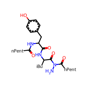 CCCCCC(=O)NC(Cc1ccc(O)cc1)C(=O)NC(C(=O)N(N)C(=O)CCCCC)C(C)CC